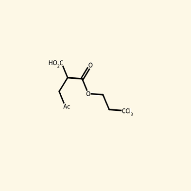 CC(=O)CC(C(=O)O)C(=O)OCCC(Cl)(Cl)Cl